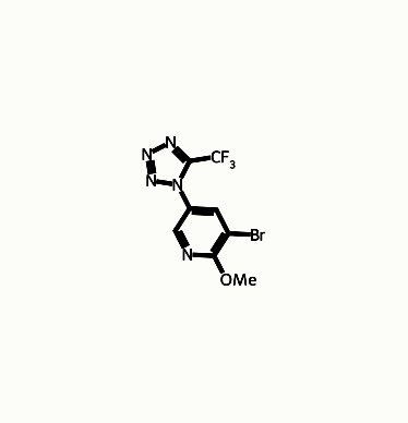 COc1ncc(-n2nnnc2C(F)(F)F)cc1Br